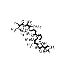 C/C=C(\C)[C@H](O)[C@@H](C)NC(=O)[C@H](C)[C@@H](OC)[C@@H]1CCCN1C(=O)C[C@@H](OC)[C@H]([C@@H](C)CC)N(C)C(=O)[C@@H](NC(=O)C(C(C)C)N(C)C)C(C)C